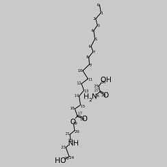 CCCCCCCCCCCCCCCCCC(=O)OCCNCCO.NC(=O)CO